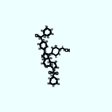 N#CCC1CCC(n2c(-c3ccc(C(=O)c4ccccc4)cc3)nc3cnc4c(ccn4S(=O)(=O)c4ccccc4)c32)CC1